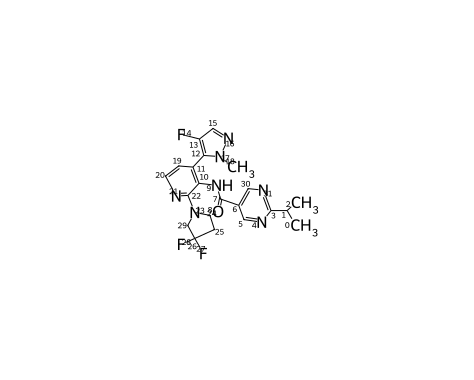 CC(C)c1ncc(C(=O)Nc2c(-c3c(F)cnn3C)ccnc2N2CCC(F)(F)C2)cn1